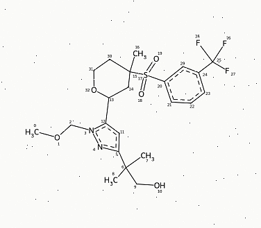 COCn1nc(C(C)(C)CO)cc1C1CC(C)(S(=O)(=O)c2cccc(C(F)(F)F)c2)CCO1